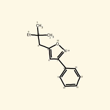 CCC(C)(C)Cc1cc(-c2ccccc2)no1